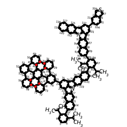 CC(C)c1cccc(C(C)C)c1-c1ccc2cc3c(cc2c1)c1cc(-c2cc(-c4ccccc4)c(-c4c5ccccc5c(-c5c(-c6ccccc6)cccc5-c5ccccc5)c5ccccc45)c(-c4ccccc4)c2)cc2c4cc5cc(-c6c(C(C)C)ccc(-c7ccc8cc9c(cc8c7)c7cc(-c8ccc%10cscc%10c8)cc8c%10cc%11ccccc%11cc%10n9c87)c6C(C)C)ccc5cc4n3c12